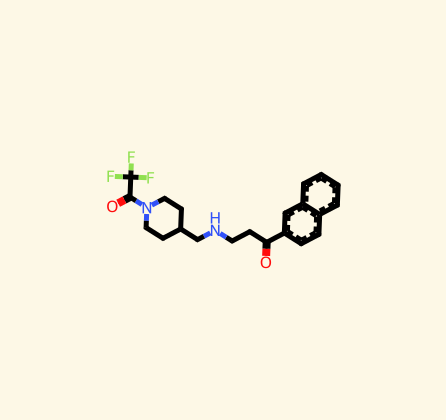 O=C(CCNCC1CCN(C(=O)C(F)(F)F)CC1)c1ccc2ccccc2c1